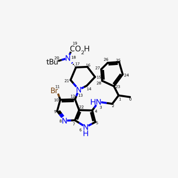 CC(CNc1c[nH]c2ncc(Br)c(N3CCC[C@@H](N(C(=O)O)C(C)(C)C)C3)c12)c1ccccc1